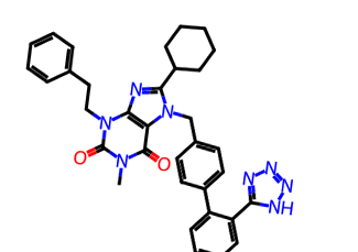 Cn1c(=O)c2c(nc(C3CCCCC3)n2Cc2ccc(-c3ccccc3-c3nnn[nH]3)cc2)n(CCc2ccccc2)c1=O